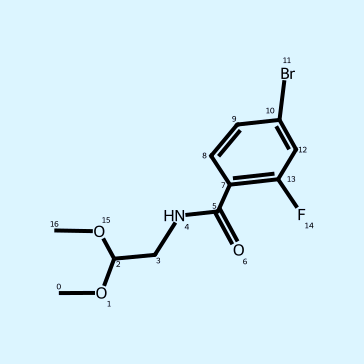 COC(CNC(=O)c1ccc(Br)cc1F)OC